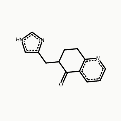 O=C1c2cccnc2CCC1Cc1c[nH]cn1